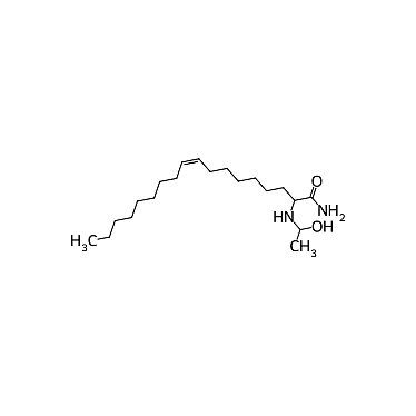 CCCCCCCC/C=C\CCCCCCC(NC(C)O)C(N)=O